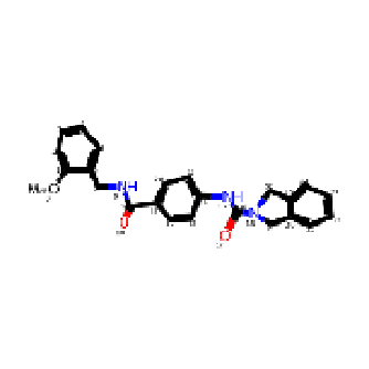 COc1ccccc1CNC(=O)c1ccc(NC(=O)N2Cc3ccccc3C2)cc1